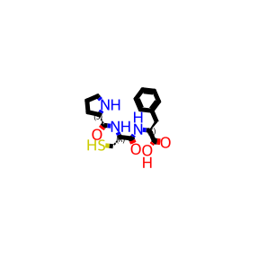 O=C(O)[C@H](Cc1ccccc1)NC(=O)[C@H](CS)NC(=O)[C@@H]1CCCN1